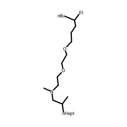 CCCCCCCC(C)CN(C)CCOCCOCCCC(CC)CCCC